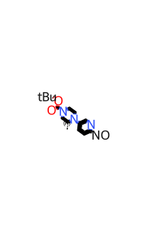 C[C@@H]1CN(C(=O)OC(C)(C)C)CCN1c1ccc(N=O)nc1